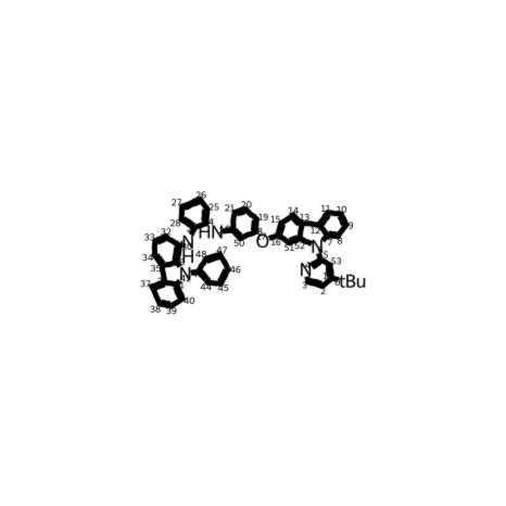 CC(C)(C)c1ccnc(-n2c3ccccc3c3ccc(Oc4cccc(Nc5ccccc5Nc5cccc6c7ccccc7n(-c7ccccc7)c56)c4)cc32)c1